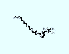 COCCOCCOCCOCC1CN(c2nccc(CO[Si](C)(C)C(C)(C)C)n2)C1